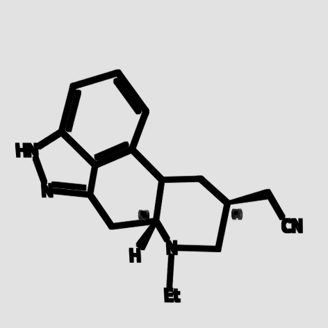 CCN1C[C@H](CC#N)CC2c3cccc4[nH]nc(c34)C[C@H]21